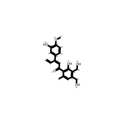 C=C/C(=C\C(=O)c1c(C)cc(CO)c(CO)c1O)c1ccc(OC)c(O)c1